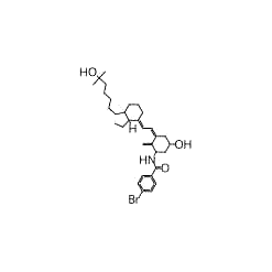 C=C1/C(=C\C=C2/CCC[C@]3(C)[C@@H]([C@H](C)CCCC(C)(C)O)CC[C@@H]23)C[C@@H](O)CC1NC(=O)c1ccc(Br)cc1